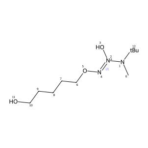 CN(/[N+](O)=N/OCCCCCO)C(C)(C)C